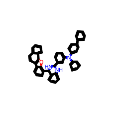 c1ccc(-c2ccc(N(c3ccccc3)c3cccc(C4Nc5ccccc5C(c5cccc6c5oc5c7ccccc7ccc65)N4)c3)cc2)cc1